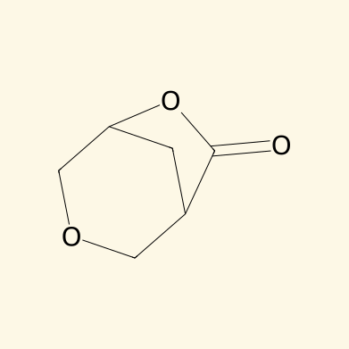 O=C1OC2COCC1C2